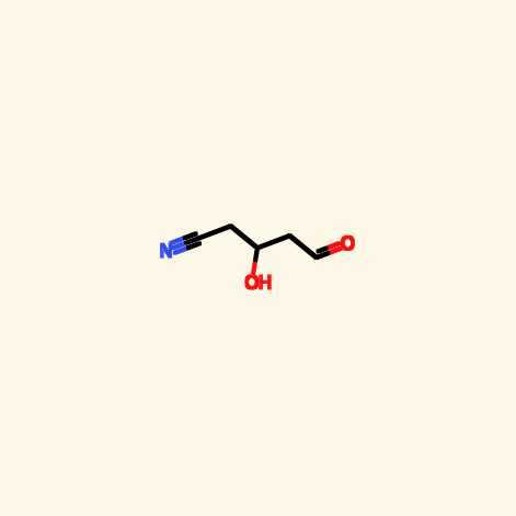 N#CCC(O)CC=O